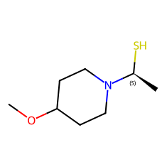 COC1CCN([C@H](C)S)CC1